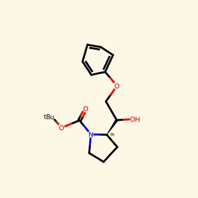 CC(C)(C)OC(=O)N1CCC[C@@H]1C(O)COc1ccccc1